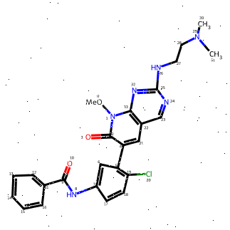 COn1c(=O)c(-c2cc(NC(=O)c3ccccc3)ccc2Cl)cc2cnc(NCCN(C)C)nc21